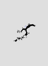 C=NN=C=C/C(=C\C)CC(C)C